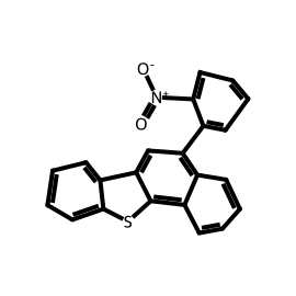 O=[N+]([O-])c1ccccc1-c1cc2c3ccccc3sc2c2ccccc12